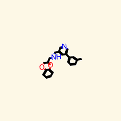 Cc1cccc(-c2cncc(CNCC3COc4ccccc4O3)c2)c1